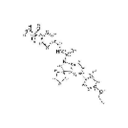 CCOc1ccc(-c2ccc3c(c2)C2(CCCC2)CN3C(=O)NCc2ccc(S(=O)(=O)NC)cc2)c(C)c1